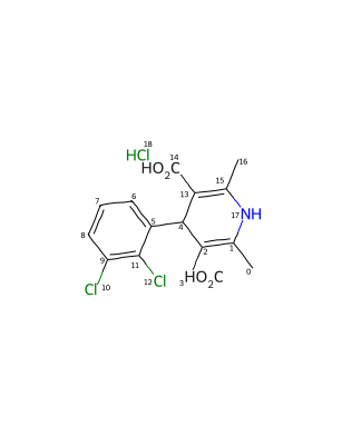 CC1=C(C(=O)O)C(c2cccc(Cl)c2Cl)C(C(=O)O)=C(C)N1.Cl